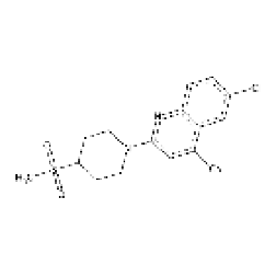 CS(=O)(=O)C1CCN(c2cc(C#N)c3cc(Cl)ccc3n2)CC1